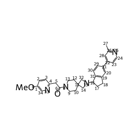 COc1ccc(CC(=O)N2CCC3(CC2)CN(C2CCc4cc(-c5ccnc(C)c5)ccc42)C3)nc1